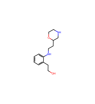 OCCc1ccccc1NCCC1CNCCO1